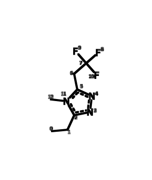 CCc1nnc(CC(F)(F)F)n1C